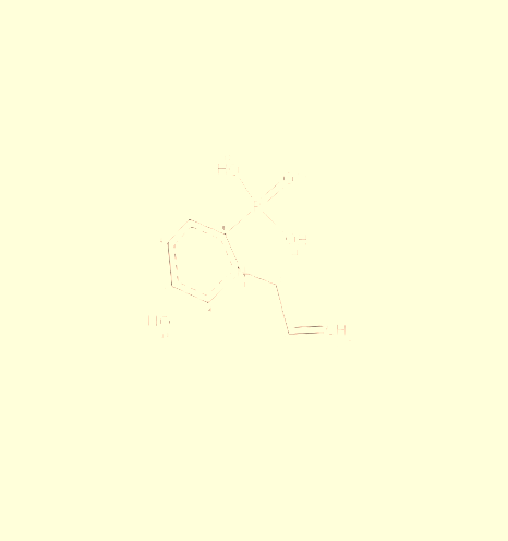 C=CC[n+]1ccccc1P(=O)(O)O.[OH-]